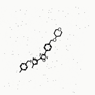 Cc1ccc(Cn2nc(-c3nc(-c4ccc(COC5CCOCC5)cc4)no3)cc2C)cc1